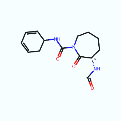 O=[C]N[C@H]1CCCCN(C(=O)NC2C=CC=CC2)C1=O